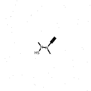 C#CN(C)N(C)S